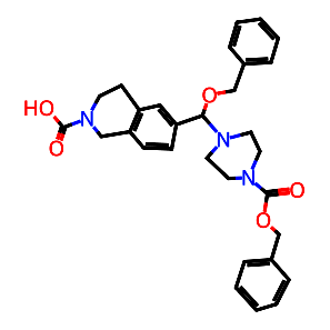 O=C(O)N1CCc2cc(C(OCc3ccccc3)N3CCN(C(=O)OCc4ccccc4)CC3)ccc2C1